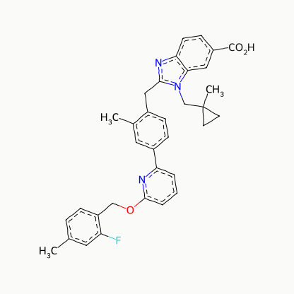 Cc1ccc(COc2cccc(-c3ccc(Cc4nc5ccc(C(=O)O)cc5n4CC4(C)CC4)c(C)c3)n2)c(F)c1